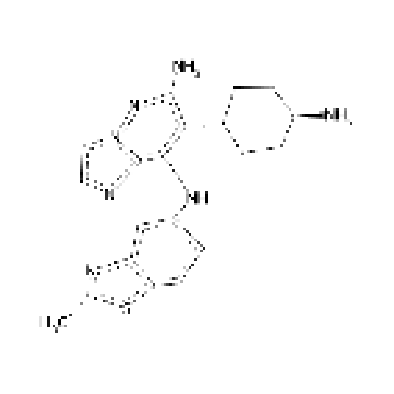 Cc1nc2cc(Nc3c4nccn4nc(N)c3[C@H]3CC[C@H](N)CC3)ccc2s1